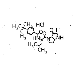 CC(C)C[C@H](NC(=O)c1ccc(C(C)(C)C)cc1)C(=O)N1CCC2NC[C@H](O)C21.Cl